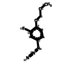 COCOc1ccc(N=[N+]=[N-])cc1F